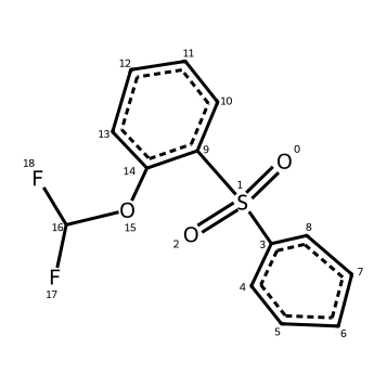 O=S(=O)(c1ccccc1)c1ccccc1OC(F)F